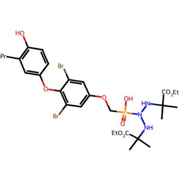 CCOC(=O)C(C)(C)NN(NC(C)(C)C(=O)OCC)P(=O)(O)COc1cc(Br)c(Oc2ccc(O)c(C(C)C)c2)c(Br)c1